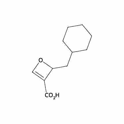 O=C(O)C1=COC1CC1CCCCC1